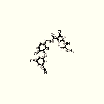 CC(=O)Nc1nc(Cl)c(C(=O)NCc2ccc(Cl)c(Oc3cc(Cl)cc(C#N)c3)c2F)[nH]1